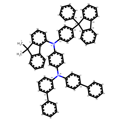 CC1(C)c2ccccc2-c2c(N(c3ccc(N(c4ccc(-c5ccccc5)cc4)c4cccc(-c5ccccc5)c4)cc3)c3ccc(C4(c5ccccc5)c5ccccc5-c5ccccc54)cc3)cccc21